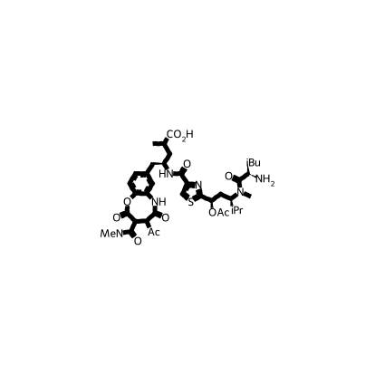 CC[C@H](C)[C@H](N)C(=O)N(C)[C@H](C[C@@H](OC(C)=O)c1nc(C(=O)N[C@@H](Cc2ccc3c(c2)NC(=O)C(C(C)=O)C(C(=O)NC)C(=O)O3)CC(C)C(=O)O)cs1)C(C)C